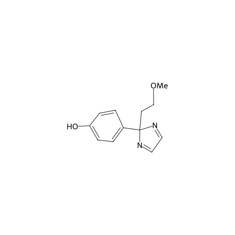 COCCC1(c2ccc(O)cc2)N=CC=N1